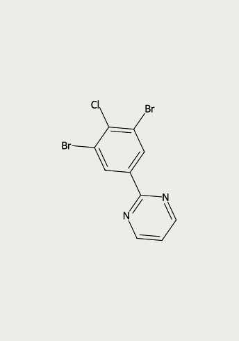 Clc1c(Br)cc(-c2ncccn2)cc1Br